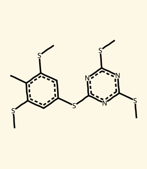 CSc1nc(SC)nc(Sc2cc(SC)c(C)c(SC)c2)n1